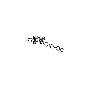 COc1ccc(N2CCN(c3ccc(-n4cnn([C@H](C)[C@H](C)OS(=O)(=O)c5ccc(C)cc5)c4=O)cc3)CC2)cc1